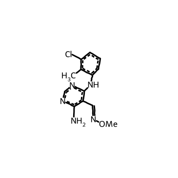 CON=Cc1c(N)ncnc1Nc1cccc(Cl)c1C